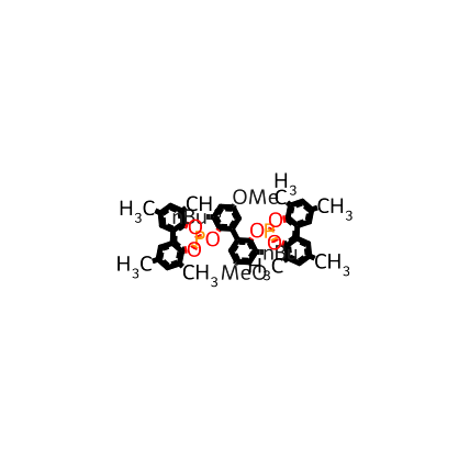 CCCCc1cc(OC)cc(-c2cc(OC)cc(CCCC)c2Op2oc3c(C)cc(C)cc3c3cc(C)cc(C)c3o2)c1Op1oc2c(C)cc(C)cc2c2cc(C)cc(C)c2o1